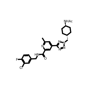 CC(=O)N[C@H]1CC[C@H](Cn2nnc(-c3cc(C)nc(C(=O)NCc4ccc(F)c(Cl)c4)c3)n2)CC1